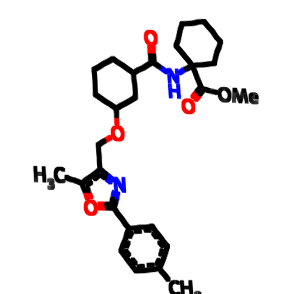 COC(=O)C1(NC(=O)C2CCCC(OCc3nc(-c4ccc(C)cc4)oc3C)C2)CCCCC1